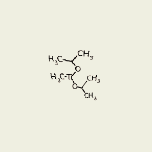 CC(C)[O][Ti]([CH3])[O]C(C)C